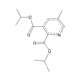 Cc1cnc(C(=O)OC(C)C)c(C(=O)OC(C)C)c1